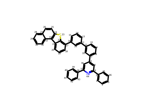 c1ccc(-c2cc(-c3cccc(-c4cccc(-c5cccc6c5sc5ccc7ccccc7c56)c4)c3)cc(-c3ccccc3)n2)cc1